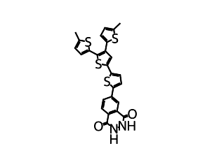 Cc1ccc(-c2cc(-c3ccc(-c4ccc5c(=O)[nH][nH]c(=O)c5c4)s3)sc2-c2ccc(C)s2)s1